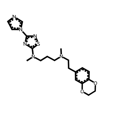 CN(CCCN(C)c1nc(-n2ccnc2)ns1)CCc1ccc2c(c1)OCCO2